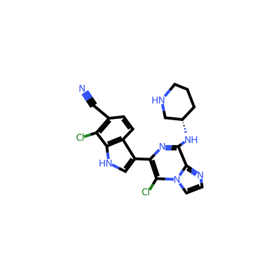 N#Cc1ccc2c(-c3nc(N[C@H]4CCCNC4)c4nccn4c3Cl)c[nH]c2c1Cl